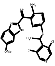 COc1ccc2nc(C(=N)c3cc(OC(C)c4c(Cl)cncc4Cl)ccc3N)[nH]c2c1